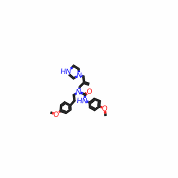 C=C(CN1CCNCC1)CN(CCc1ccc(OC)cc1)C(=O)Nc1ccc(OC)cc1